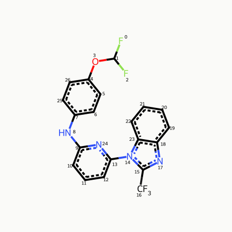 FC(F)Oc1ccc(Nc2cccc(-n3c(C(F)(F)F)nc4ccccc43)n2)cc1